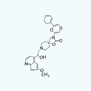 COc1ccc2nccc(C(O)CN3CCC4(CC3)CN(C3=COC=C(C5=CC=CCC5)O3)C(=O)O4)c2c1